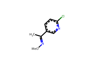 CON=C(C)c1ccc(Cl)nc1